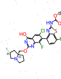 CC(C)(C)OC(=O)Nc1nc2c(-c3c(Cl)cc4c(O)nc(OC[C@@]56CCCN5C[C@H](F)C6)nc4c3F)ccc(F)c2s1